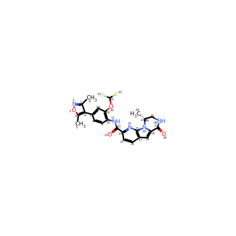 Cc1noc(C)c1-c1ccc(NC(=O)c2ccc3cc4n(c3n2)[C@H](C)CNC4=O)c(OC(F)F)c1